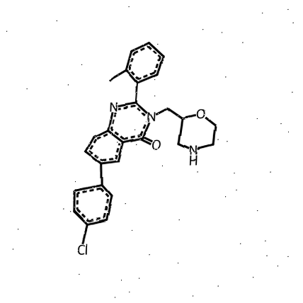 Cc1ccccc1-c1nc2ccc(-c3ccc(Cl)cc3)cc2c(=O)n1CC1CNCCO1